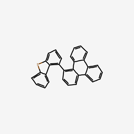 c1ccc2c(c1)sc1cccc(-c3cccc4c5ccccc5c5ccccc5c34)c12